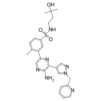 Cc1ccc(S(=O)(=O)NCCC(C)(C)O)cc1-c1cnc(N)c(-c2cnn(Cc3ccccn3)c2)n1